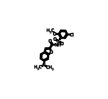 COc1ccc(Cl)cc1S(=O)(=O)NC(=O)c1cc2ccc(N(C)C)cc2o1